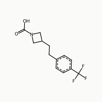 O=C(O)N1CC(CCc2ccc(C(F)(F)F)cc2)C1